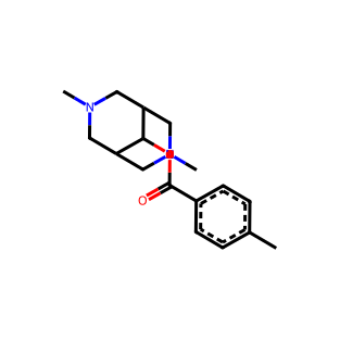 Cc1ccc(C(=O)OC2C3CN(C)CC2CN(C)C3)cc1